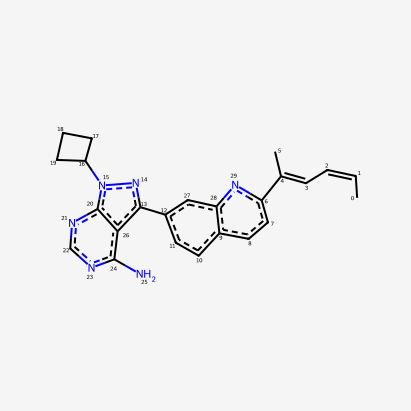 C/C=C\C=C(/C)c1ccc2ccc(-c3nn(C4CCC4)c4ncnc(N)c34)cc2n1